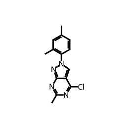 Cc1ccc(-n2cc3c(Cl)nc(C)nc3n2)c(C)c1